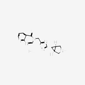 Cl.O=c1c2cccnc2ncn1Cc1nc([C@@H]2[C@@H]3CNC[C@@H]32)no1